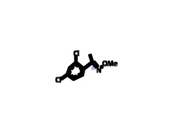 CO/N=C(\C)c1ccc(Cl)cc1Cl